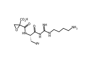 CC(C)C[C@H](NC(=O)C1(C(=O)O)CO1)C(=O)NC(=N)NCCCCN